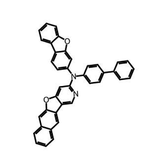 c1ccc(-c2ccc(N(c3ccc4c(c3)oc3ccccc34)c3cc4oc5cc6ccccc6cc5c4cn3)cc2)cc1